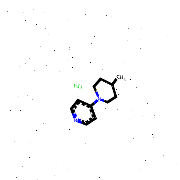 CC1CCN(c2ccncc2)CC1.Cl